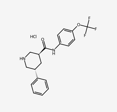 Cl.O=C(Nc1ccc(OC(F)(F)F)cc1)[C@@H]1CNC[C@@H](c2ccccc2)C1